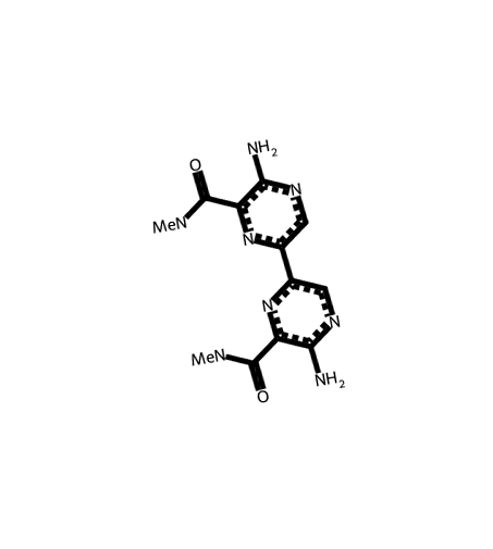 CNC(=O)c1nc(-c2cnc(N)c(C(=O)NC)n2)cnc1N